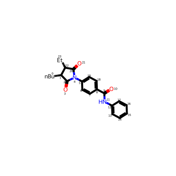 CCCCC1C(=O)N(c2ccc(C(=O)Nc3ccccc3)cc2)C(=O)C1CC